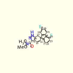 CON(C)C(=O)c1n[nH]c2c1C=CC(c1cccc(F)c1)(c1cccc(F)c1)C2